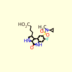 CN(C1CC1)S(=O)(=O)c1cc2c(cc1F)[nH]c(=O)c1[nH]cc(CCCC(=O)O)c12